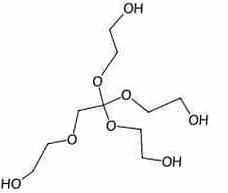 OCCOCC(OCCO)(OCCO)OCCO